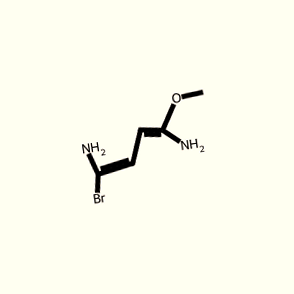 CO/C(N)=C/C=C(\N)Br